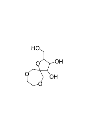 OCC1OC2(COCCOC2)C(O)C1O